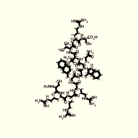 CC(=O)N[C@@H](CS)C(=O)N[C@@H](CCCNC(=N)N)C(=O)N[C@@H](CCCNC(=N)N)C(=O)N[C@@H](CCCNC(=N)N)C(=O)N[C@H](Cc1ccc2ccccc2c1)C(=O)N[C@@H](Cc1c[nH]c2ccccc12)C(=O)N[C@@H](CCC(N)=O)C(=O)N[C@H](C(=O)N[C@H](C(=O)N[C@@H](CCCNC(=N)N)C(=O)N[C@H](C(=O)O)C(C)(C)C)[C@@H](C)O)C(C)(C)S